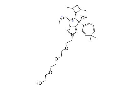 C/C=C\C=C(/C1C(C)CC1C)C(O)(C1=CC=CC(C)(C)C=C1)c1cn(CCOCCOCCOCCO)nn1